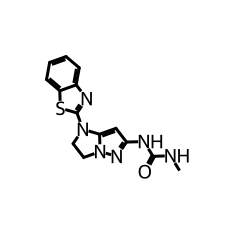 CNC(=O)Nc1cc2n(n1)CCN2c1nc2ccccc2s1